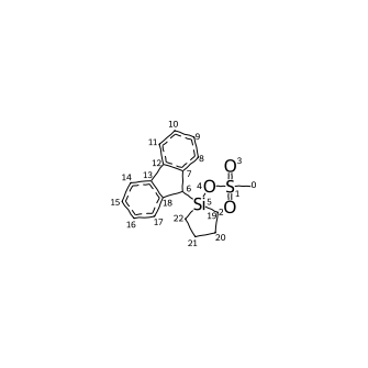 CS(=O)(=O)O[Si]1(C2c3ccccc3-c3ccccc32)CCCC1